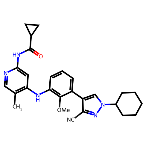 COc1c(Nc2cc(NC(=O)C3CC3)ncc2C)cccc1-c1cn(C2CCCCC2)nc1C#N